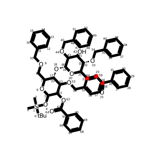 CC(C)(C)[Si](C)(C)OC1OC(COCc2ccccc2)[C@H](O[C@H]2OC(COC(=O)c3ccccc3)[C@@H](OCc3ccccc3)C(O)C2OCc2ccccc2)C(OCc2ccccc2)C1OC(=O)c1ccccc1